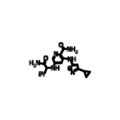 CC(C)C(Nc1cnc(C(N)=O)c(Nc2cc(C3CC3)no2)c1)C(N)=O